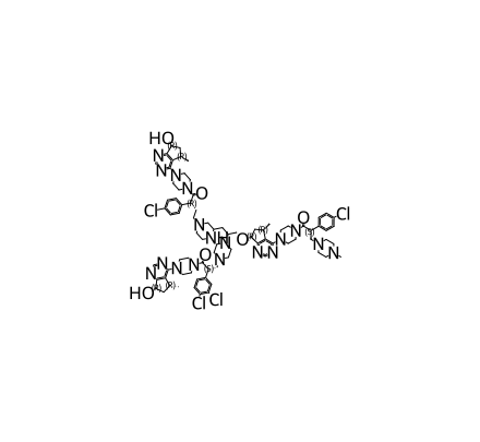 C[C@@H]1C[C@@H](O)c2ncnc(N3CCN(C(=O)[C@H](CCN4CCNC(CC(CO[C@@H]5C[C@@H](C)c6c5ncnc6N5CCN(C(=O)[C@H](CN6CCN(C)CC6)c6ccc(Cl)cc6)CC5)N5CCN(C[C@@H](C(=O)N6CCN(c7ncnc8c7[C@H](C)C[C@H]8O)CC6)c6ccc(Cl)c(Cl)c6)CC5)C4)c4ccc(Cl)cc4)CC3)c21